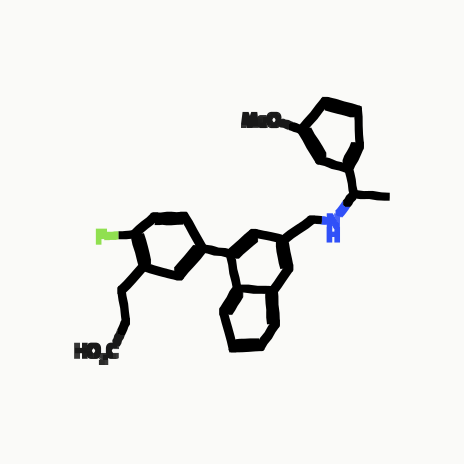 COc1cccc(C(C)NCc2cc(-c3ccc(F)c(CCC(=O)O)c3)c3ccccc3c2)c1